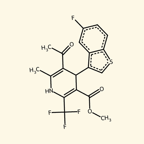 COC(=O)C1=C(C(F)(F)F)NC(C)=C(C(C)=O)C1c1csc2ccc(F)cc12